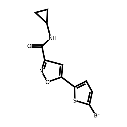 O=C(NC1CC1)c1cc(-c2ccc(Br)s2)on1